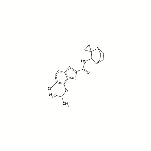 CC(C)Oc1c(Cl)ccc2cc(C(=O)NC3C4CCN(CC4)C34CC4)sc12